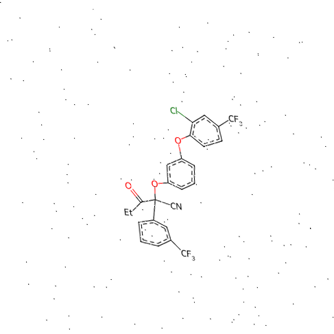 CCC(=O)C(C#N)(Oc1cccc(Oc2ccc(C(F)(F)F)cc2Cl)c1)c1cccc(C(F)(F)F)c1